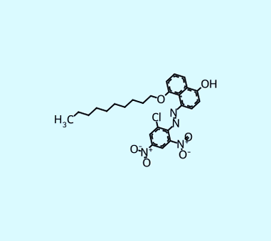 CCCCCCCCCCOc1cccc2c(O)ccc(N=Nc3c(Cl)cc([N+](=O)[O-])cc3[N+](=O)[O-])c12